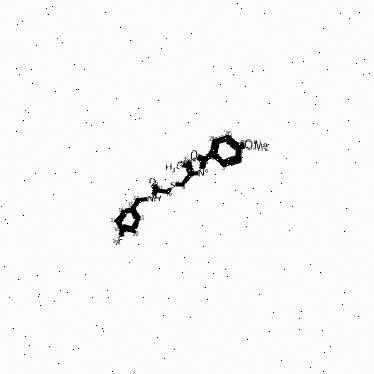 COc1ccc(-c2nc(CSCC(=O)NCc3ccc(F)cc3)c(C)o2)cc1